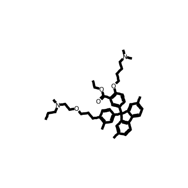 CCCN(C)CCOCCCc1ccc(C2(c3ccc(OCCCCN(C)C)c(C(=O)OCC)c3)c3cc(C)ccc3-c3ccc(C)cc32)cc1C